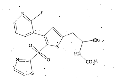 CC(C)(C)C(Cc1cc(-c2cccnc2F)c(S(=O)(=O)c2nccs2)s1)NC(=O)O